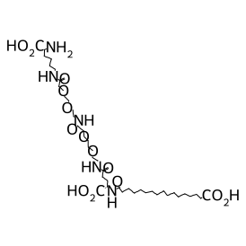 N[C@@H](CCCCNC(=O)COCCOCCNC(=O)COCCOCCNC(=O)CC[C@H](NC(=O)CCCCCCCCCCCCCCCC(=O)O)C(=O)O)C(=O)O